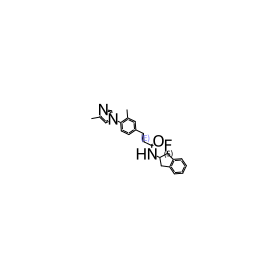 Cc1cn(-c2ccc(/C=C/C(=O)NC3Cc4ccccc4[C@@H]3F)cc2C)cn1